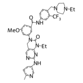 CCN1CCN(Cc2ccc(NC(=O)c3cc(OC)cc(N4Cc5cnc(Nc6ccc(C)nc6)nc5N(CC)C4=O)c3)cc2C(F)(F)F)CC1